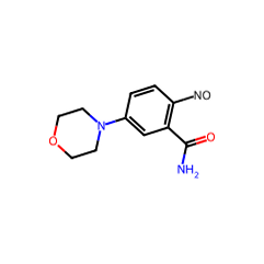 NC(=O)c1cc(N2CCOCC2)ccc1N=O